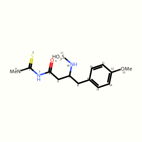 CNC(=S)NC(=O)CC(Cc1ccc(OC)cc1)NS(=O)(=O)O